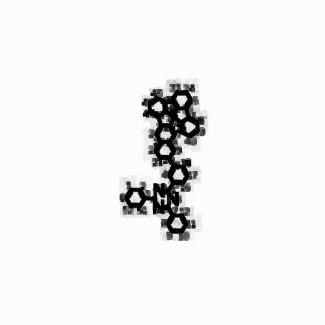 c1ccc(-c2nc(-c3ccccc3)nc(-c3cccc(-c4ccc5cc6c(cc5c4)C4(c5ccccc5-c5ccccc54)c4ccccc4-6)c3)n2)cc1